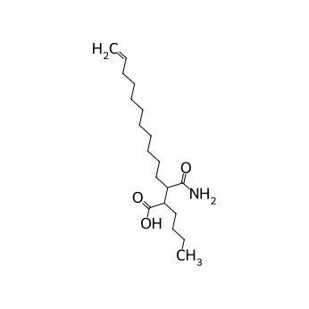 C=CCCCCCCCCCC(C(N)=O)C(CCCC)C(=O)O